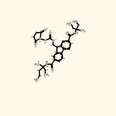 CCC(C)(CO)NC(=O)c1ccc2c(c1)C(COC(=O)ON1C(=O)CCC1=O)c1cc(C(=O)NC(C)(CC)CCO)ccc1-2